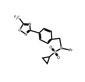 CC(C)N(Cc1ccc(-c2noc(C(F)(F)F)n2)cc1)S(=O)(=O)C1CC1